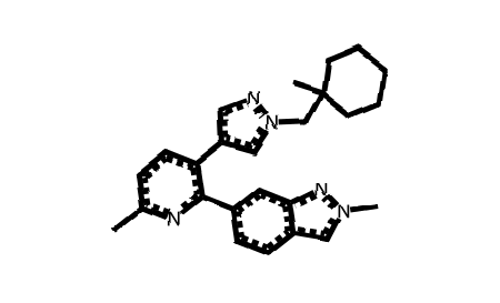 Cc1ccc(-c2cnn(CC3(C)CCCCC3)c2)c(-c2ccc3cn(C)nc3c2)n1